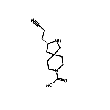 N#CCC[C@H]1CC2(CCN(C(=O)O)CC2)CN1